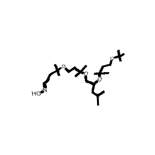 CC(C)CC(COC(C)(C)CCOC(C)(C)CCC=NO)OC(C)(C)CCOC(C)(C)C